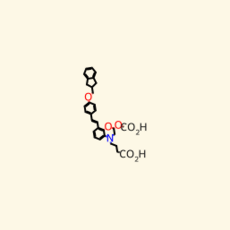 O=C(O)CCCN1CC(OC(=O)O)Oc2c(/C=C/c3ccc(OCC4Cc5ccccc5C4)cc3)cccc21